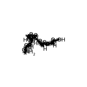 C=C1C[C@H]2[C@H](O)N(C(=O)OCc3ccc(NC(=O)[C@H](C)NC(=O)[C@@H](N)C(C)C)cc3)c3cc(OCCCC(=O)Nc4cc(C(=O)Nc5ccc(-c6cc(C(=O)NCCCO)n(C)c6)cc5)n(C)c4)c(OC)cc3C(=O)N2C1